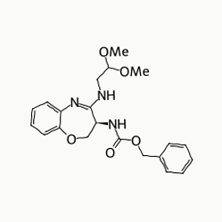 COC(CNC1=Nc2ccccc2OC[C@@H]1NC(=O)OCc1ccccc1)OC